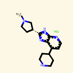 CN1CC[C@@H](c2nc3c(C4CCNCC4)ccnc3[nH]2)C1.Cl